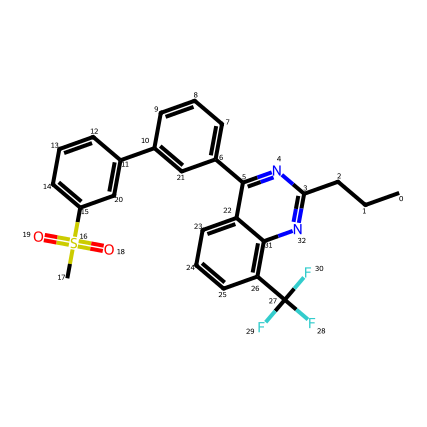 CCCc1nc(-c2cccc(-c3cccc(S(C)(=O)=O)c3)c2)c2cccc(C(F)(F)F)c2n1